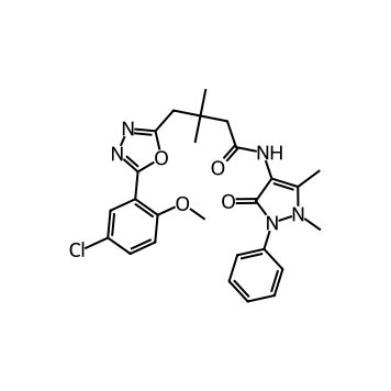 COc1ccc(Cl)cc1-c1nnc(CC(C)(C)CC(=O)Nc2c(C)n(C)n(-c3ccccc3)c2=O)o1